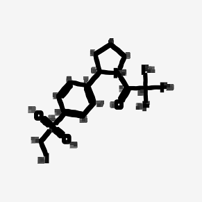 O=C(N1CCCC1c1ccc(S(=O)(=O)CI)cc1)C(F)(F)F